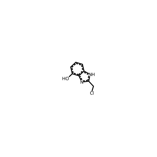 Oc1cccc2[nH]c(CCl)nc12